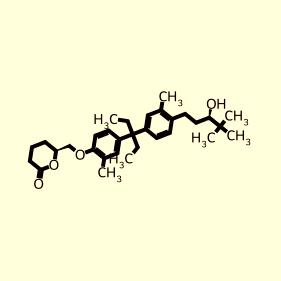 CCC(CC)(c1ccc(CC[C@@H](O)C(C)(C)C)c(C)c1)c1ccc(OC[C@@H]2CCCC(=O)O2)c(C)c1